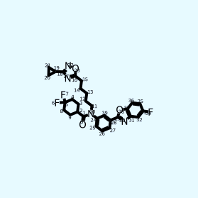 O=C(C1CCC(F)(F)CC1)N(CCCCCc1nc(C2CC2)no1)c1cccc(-c2nc3cc(F)ccc3o2)c1